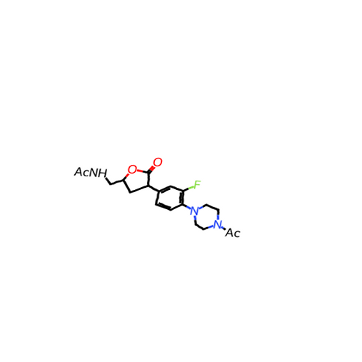 CC(=O)NCC1CC(c2ccc(N3CCN(C(C)=O)CC3)c(F)c2)C(=O)O1